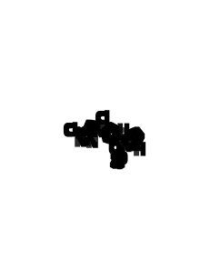 CC(C)(C)OC(=O)N1C[C@@H]2CC[C@@H](O2)[C@@H]1c1ccc(-n2c(Cl)cc3c(Cl)ncnc32)cc1